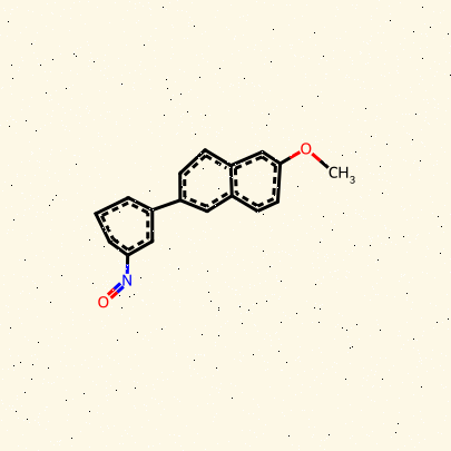 COc1ccc2cc(-c3cccc(N=O)c3)ccc2c1